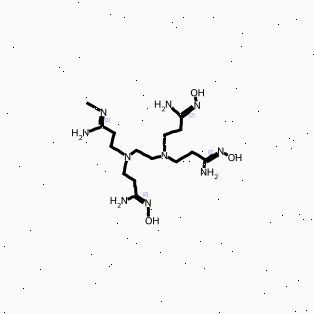 C/N=C(\N)CCN(CC/C(N)=N/O)CCN(CC/C(N)=N/O)CC/C(N)=N/O